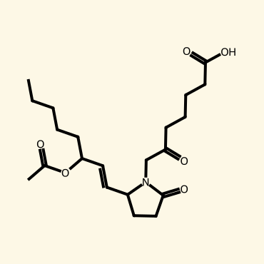 CCCCCC(/C=C/C1CCC(=O)N1CC(=O)CCCCC(=O)O)OC(C)=O